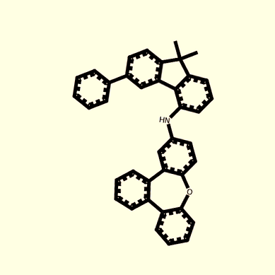 CC1(C)c2ccc(-c3ccccc3)cc2-c2c(Nc3ccc4c(c3)-c3ccccc3-c3ccccc3O4)cccc21